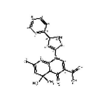 CC1(C)C=C(Cl)N=C2C1C(=O)C(C(=O)O)=CN2C1=NC(c2ccncn2)NS1